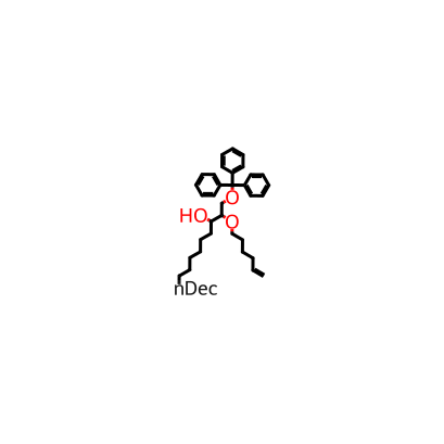 C=CCCCCOC(COC(c1ccccc1)(c1ccccc1)c1ccccc1)C(O)CCCCCCCCCCCCCCCC